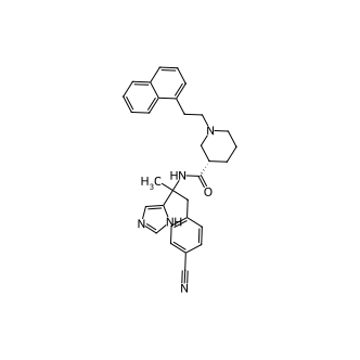 CC(Cc1ccc(C#N)cc1)(NC(=O)[C@H]1CCCN(CCc2cccc3ccccc23)C1)c1cnc[nH]1